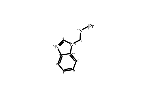 [CH2]C(C)SCn1cnc2ccccc21